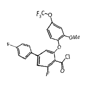 COc1cc(OC(F)(F)F)ccc1Oc1cc(-c2ccc(F)cc2)cc(F)c1C(=O)Cl